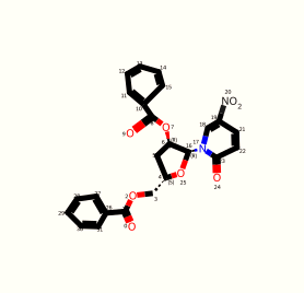 O=C(OC[C@@H]1C[C@@H](OC(=O)c2ccccc2)[C@H](n2cc([N+](=O)[O-])ccc2=O)O1)c1ccccc1